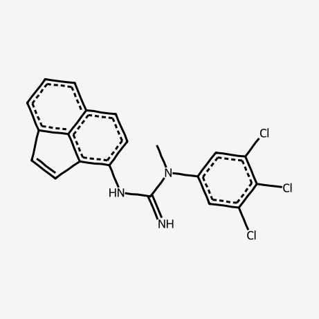 CN(C(=N)Nc1ccc2cccc3c2c1C=C3)c1cc(Cl)c(Cl)c(Cl)c1